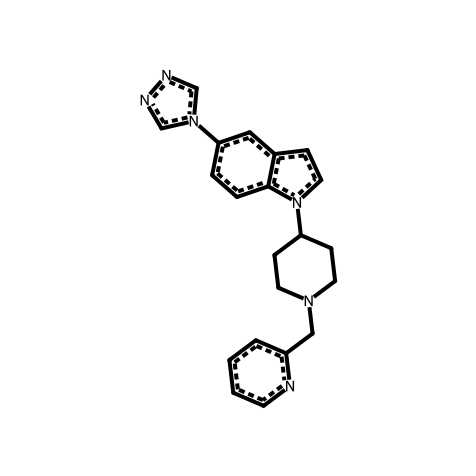 c1ccc(CN2CCC(n3ccc4cc(-n5cnnc5)ccc43)CC2)nc1